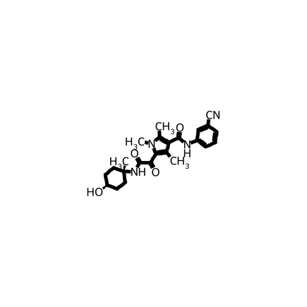 Cc1c(C(=O)Nc2cccc(C#N)c2)c(C)n(C)c1C(=O)C(=O)N[C@]1(C)CC[C@@H](O)CC1